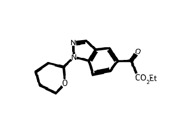 CCOC(=O)C(=O)c1ccc2c(cnn2C2CCCCO2)c1